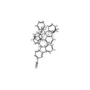 N#Cc1ccc2c(c1)c1ccccc1n2-c1cccc(C#N)c1-c1cccc(C#N)c1[Si](c1ccccc1)(c1ccccc1)c1ccccc1